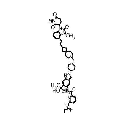 Cn1c(=O)n(C2CCC(=O)NC2=O)c2cccc(CCC3CC4(CCN(C[C@H]5CC[C@H](n6cc7cc(NC(=O)c8cccc(OC(F)F)n8)c(C(C)(C)O)cc7n6)CC5)CC4)C3)c21